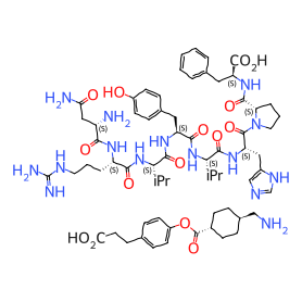 CC(C)[C@H](NC(=O)[C@H](CCCNC(=N)N)NC(=O)[C@@H](N)CC(N)=O)C(=O)N[C@@H](Cc1ccc(O)cc1)C(=O)N[C@H](C(=O)N[C@@H](Cc1cnc[nH]1)C(=O)N1CCC[C@H]1C(=O)N[C@@H](Cc1ccccc1)C(=O)O)C(C)C.NC[C@H]1CC[C@H](C(=O)Oc2ccc(CCC(=O)O)cc2)CC1